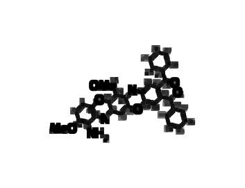 COc1ccc2c(c1N)N=c1cc3c(c(OC)c1O2)=Nc1cc(C(=O)c2ccccc2)c(C(=O)c2ccccc2)cc1O3